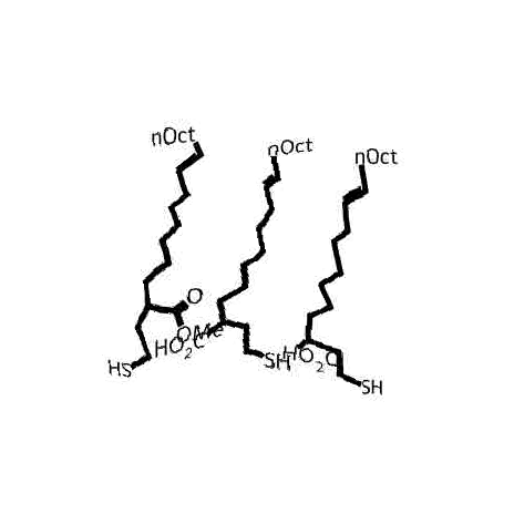 CCCCCCCCC=CCCCCCCC(CCS)C(=O)O.CCCCCCCCC=CCCCCCCC(CCS)C(=O)O.CCCCCCCCC=CCCCCCCC(CCS)C(=O)OC